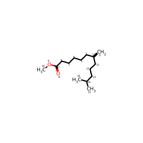 C=C(CCCCCC(=O)OC)CCCC(C)C